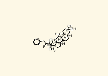 C[C@H]([C@H](O)C(F)Cc1ccccc1)[C@H]1CC[C@H]2[C@@H]3CC[C@@H]4C[C@@](O)(C(F)(F)F)CC[C@]4(C)[C@H]3CC[C@]12C